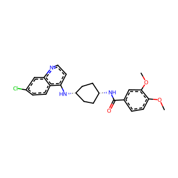 COc1ccc(C(=O)N[C@H]2CC[C@@H](Nc3ccnc4cc(Cl)ccc34)CC2)cc1OC